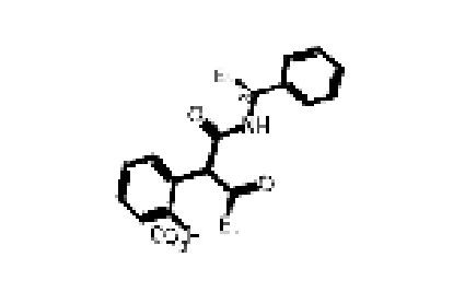 CCC(=O)C(C(=O)N[C@@H](CC)c1ccccc1)c1ccccc1C(=O)O